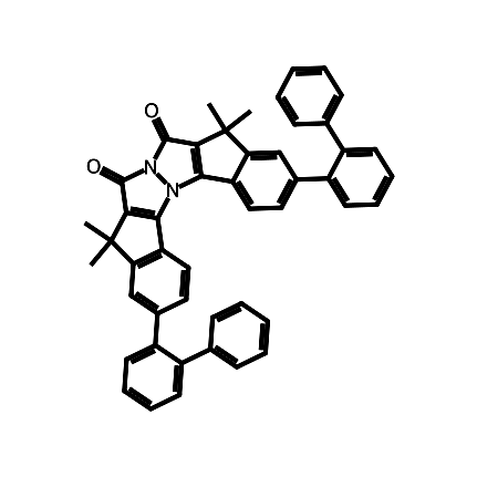 CC1(C)c2cc(-c3ccccc3-c3ccccc3)ccc2-c2c1c(=O)n1c(=O)c3c(n21)-c1ccc(-c2ccccc2-c2ccccc2)cc1C3(C)C